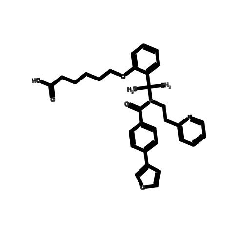 BC(B)(c1ccccc1OCCCCCC(=O)O)N(CCc1ccccn1)C(=O)c1ccc(-c2ccoc2)cc1